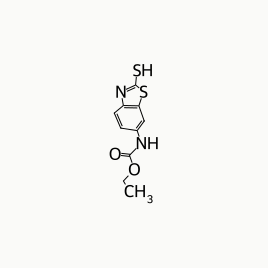 CCOC(=O)Nc1ccc2nc(S)sc2c1